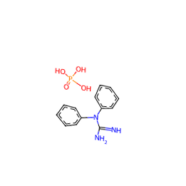 N=C(N)N(c1ccccc1)c1ccccc1.O=P(O)(O)O